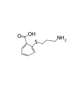 NCCCSc1ccccc1C(=O)O